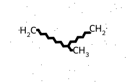 [CH2]CCCCCCCCC(CC)CCCCCC[CH2]